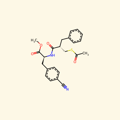 COC(=O)[C@H](Cc1ccc(C#N)cc1)NC(=O)[C@@H](CSC(C)=O)Cc1ccccc1